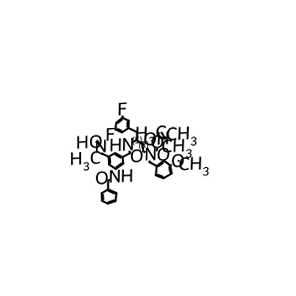 COc1cccc(CN(C[C@@H](O)[C@H](Cc2cc(F)cc(F)c2)NC(=O)c2cc(NC(=O)c3ccccc3)cc(C(C)=NO)c2)C(=O)OC(C)(C)C)c1